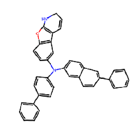 C1=Cc2c(oc3ccc(N(c4ccc(-c5ccccc5)cc4)c4ccc5cc(-c6ccccc6)ccc5c4)cc23)NC1